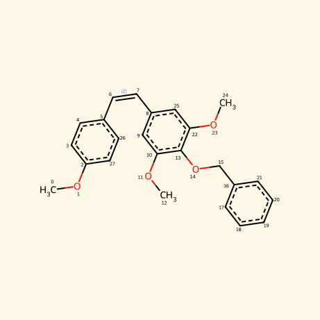 COc1ccc(/C=C\c2cc(OC)c(OCc3ccccc3)c(OC)c2)cc1